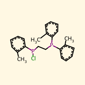 Cc1ccccc1P(Cl)CCP(c1ccccc1C)c1ccccc1C